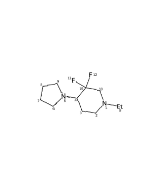 CCN1CCC(N2CCCC2)C(F)(F)C1